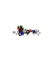 COc1cc(C2(C)CCCc3nc(SCc4c(F)cc(OCCN(C)C)cc4F)n(-c4ccc(F)cc4)c32)ccc1Cl